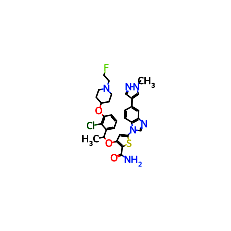 CC(Oc1cc(-n2cnc3cc(-c4cnn(C)c4)ccc32)sc1C(N)=O)c1cccc(OC2CCN(CCF)CC2)c1Cl